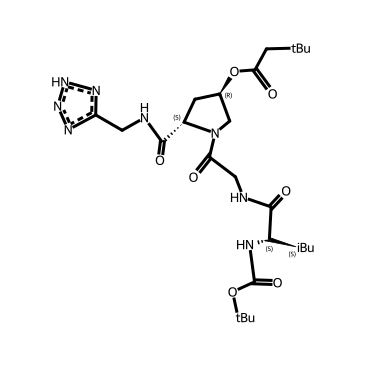 CC[C@H](C)[C@H](NC(=O)OC(C)(C)C)C(=O)NCC(=O)N1C[C@H](OC(=O)CC(C)(C)C)C[C@H]1C(=O)NCc1nn[nH]n1